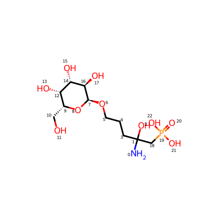 NC(O)(CCCO[C@H]1O[C@H](CO)[C@H](O)[C@H](O)[C@H]1O)CP(=O)(O)O